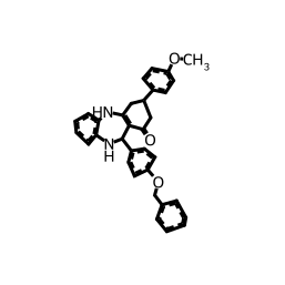 COc1ccc(C2CC(=O)C3=C(C2)Nc2ccccc2NC3c2ccc(OCc3ccccc3)cc2)cc1